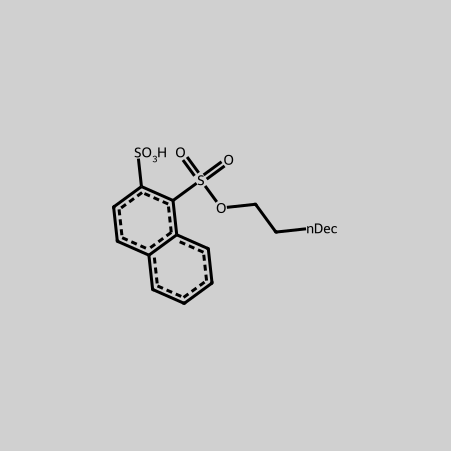 CCCCCCCCCCCCOS(=O)(=O)c1c(S(=O)(=O)O)ccc2ccccc12